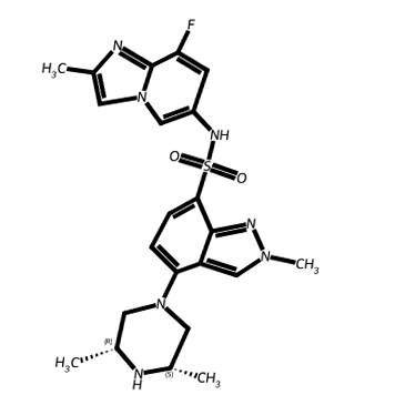 Cc1cn2cc(NS(=O)(=O)c3ccc(N4C[C@@H](C)N[C@@H](C)C4)c4cn(C)nc34)cc(F)c2n1